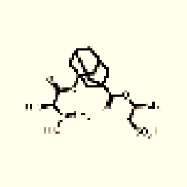 CC(C(=O)OC12CC3CC(C1)CC(C(=O)OC(CS(=O)(=O)O)C(F)(F)F)(C3)C2)N(C)C